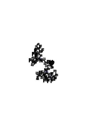 CCC(F)(F)C(F)=C(C/C(=N\CCPS(=O)(=S)CC/N=C(\C/C(=C(/F)C(F)(F)CC)C(F)(F)F)C(F)(F)CC(C)(F)F)C(F)(F)CC(C)(F)F)C(F)(F)F